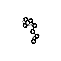 C1=CC(c2cccc(-c3ccccc3Nc3cccc4oc5ccccc5c34)c2)=CC(c2cccc3c2oc2ccccc23)C1